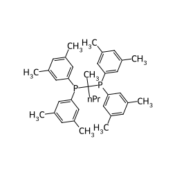 CCCC(C)(P(c1cc(C)cc(C)c1)c1cc(C)cc(C)c1)P(c1cc(C)cc(C)c1)c1cc(C)cc(C)c1